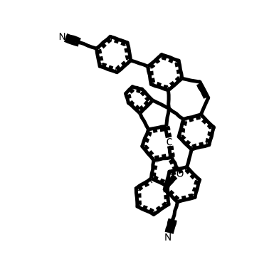 N#Cc1ccc(-c2ccc3c(c2)C2(c4cc(-c5ccc(C#N)cc5)ccc4C=C3)c3ccccc3-c3cc4c(cc32)oc2ccccc24)cc1